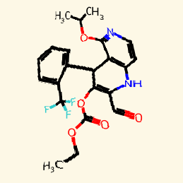 CCOC(=O)OC1=C(C=O)Nc2ccnc(OC(C)C)c2C1c1ccccc1C(F)(F)F